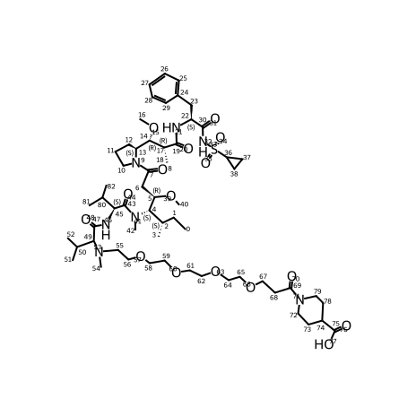 CC[C@H](C)[C@@H]([C@@H](CC(=O)N1CCC[C@H]1[C@H](OC)[C@@H](C)C(=O)N[C@@H](Cc1ccccc1)C(=O)NS(=O)(=O)C1CC1)OC)N(C)C(=O)[C@@H](NC(=O)C(C(C)C)N(C)CCOCCOCCOCCOCCC(=O)N1CCC(C(=O)O)CC1)C(C)C